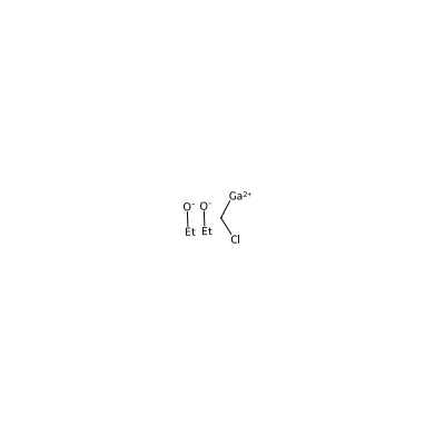 CC[O-].CC[O-].Cl[CH2][Ga+2]